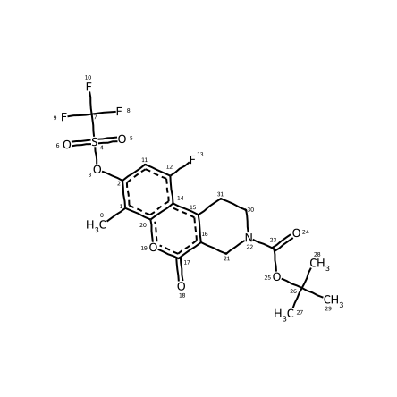 Cc1c(OS(=O)(=O)C(F)(F)F)cc(F)c2c3c(c(=O)oc12)CN(C(=O)OC(C)(C)C)CC3